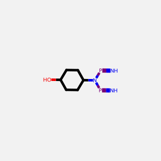 N=PN(P=N)C1CCC(O)CC1